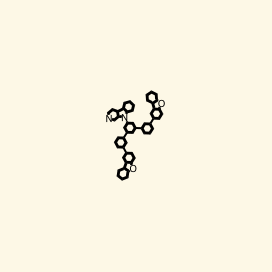 c1cc(-c2cc(-c3cccc(-c4ccc5oc6ccccc6c5c4)c3)cc(-n3c4ccccc4c4ccncc43)c2)cc(-c2ccc3oc4ccccc4c3c2)c1